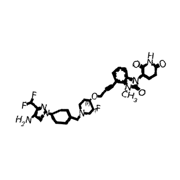 Cn1c(=O)n(C2CCC(=O)NC2=O)c2cccc(C#CCO[C@@H]3CCN(CC4CCC(n5cc(N)c(C(F)F)n5)CC4)C[C@H]3F)c21